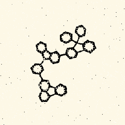 c1ccc(C2(c3ccccc3)c3ccccc3-c3ccc(-c4ccc5c(c4)c4ccccc4n5-c4cccc(-c5nc6c7c(cccc7n5)-c5ccccc5-6)c4)cc32)cc1